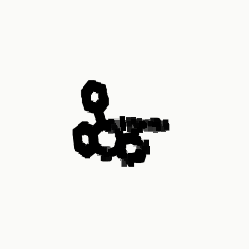 CCCCNc1ncnc2c1N=C(c1ccccc1)c1ccccc1S2